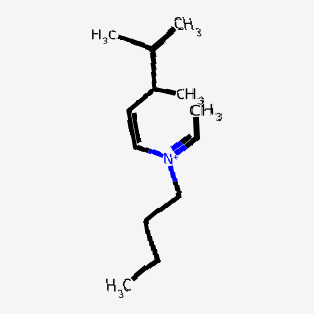 C/C=[N+](\C=C/C(C)C(C)C)CCCC